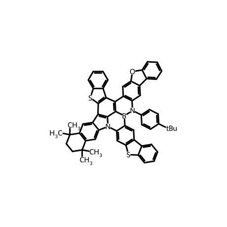 CC(C)(C)c1ccc(N2B3c4cc5c(cc4-n4c6cc7c(cc6c6c8sc9ccccc9c8c(c3c64)-c3cc4oc6ccccc6c4cc32)C(C)(C)CCC7(C)C)sc2ccccc25)cc1